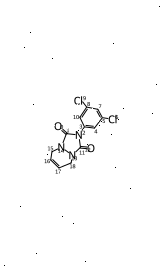 O=c1n(-c2cc(Cl)cc(Cl)c2)c(=O)n2n1CC=CC2